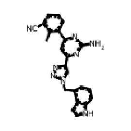 Cc1c(C#N)cccc1-c1cc(-c2cn(Cc3cccc4[nH]ccc34)nn2)nc(N)n1